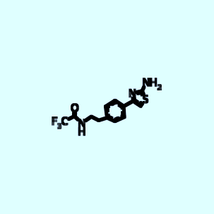 Nc1nc(-c2ccc(CCNC(=O)C(F)(F)F)cc2)cs1